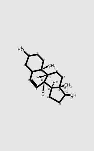 C[C@]12CCC(O)CC1C=C[C@@H]1[C@H]2CC[C@]2(C)C(O)CC[C@@H]12